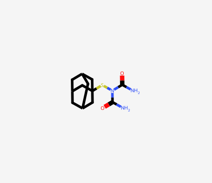 NC(=O)N(SC12CC3CC(CC(C3)C1)C2)C(N)=O